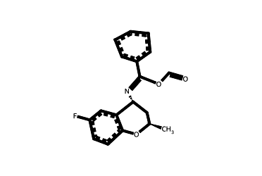 C[C@@H]1C[C@@H](/N=C(\OC=O)c2ccccc2)c2cc(F)ccc2O1